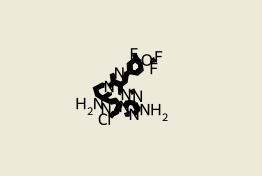 Nc1ncnc2c1ncn2Cc1cc(-c2ccc(OC(F)F)c(F)c2)ncc1N1CCCC(N)(c2cccc(Cl)n2)C1